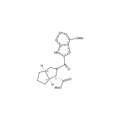 COC(=O)[C@@H]1[C@H]2CCC[C@H]2CN1C(=O)c1cc2c(OC)cccc2[nH]1